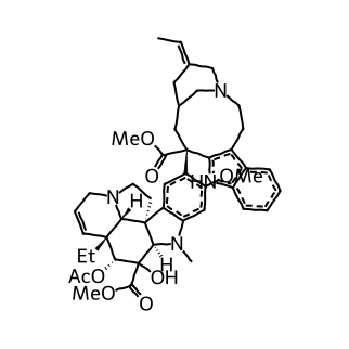 C/C=C1\CC2CN(CCc3c([nH]c4ccccc34)[C@@](C(=O)OC)(c3cc4c(cc3OC)N(C)[C@H]3C(O)(C(=O)OC)[C@H](OC(C)=O)[C@]5(CC)C=CCN6CC[C@]43[C@@H]65)C2)C1